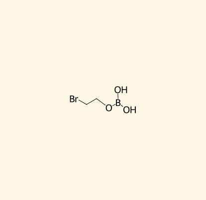 OB(O)OCCBr